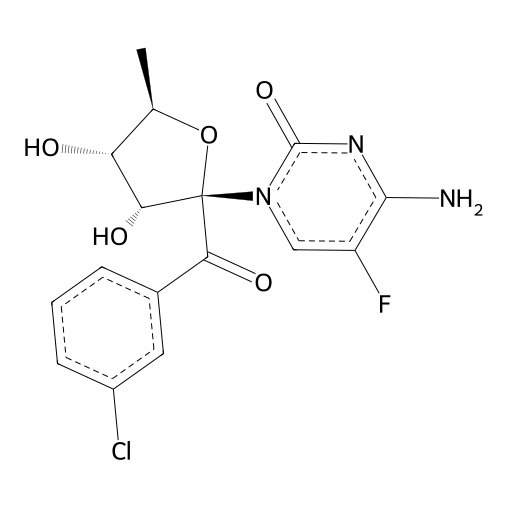 C[C@H]1O[C@@](C(=O)c2cccc(Cl)c2)(n2cc(F)c(N)nc2=O)[C@H](O)[C@@H]1O